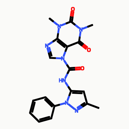 Cc1cc(NC(=O)n2cnc3c2c(=O)n(C)c(=O)n3C)n(-c2ccccc2)n1